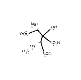 O=C([O-])CC(O)(CC(=O)[O-])C(=O)O.S.[Na+].[Na+]